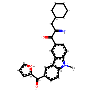 CCn1c2ccc(C(=O)C(=N)CC3CCCCC3)cc2c2cc(C(=O)c3ccco3)ccc21